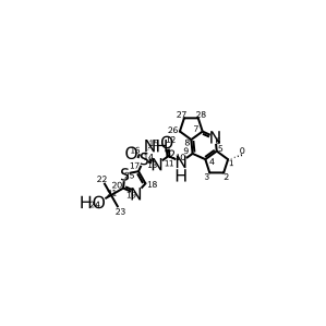 C[C@@H]1CCc2c1nc1c(c2NC(=O)N=[S@](N)(=O)c2cnc(C(C)(C)O)s2)CCC1